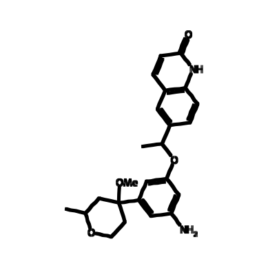 COC1(c2cc(N)cc(OC(C)c3ccc4[nH]c(=O)ccc4c3)c2)CCOC(C)C1